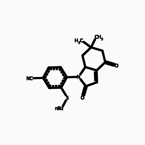 CCCCSc1cc(C#N)ccc1N1C(=O)C=C2C(=O)CC(C)(C)CC21